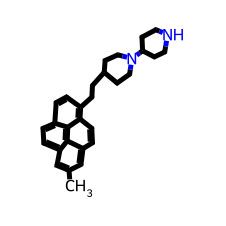 Cc1cc2ccc3ccc(CCC4CCN(C5CCNCC5)CC4)c4ccc(c1)c2c34